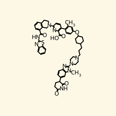 Cc1cc(OC2CCC(CCCN3CCN(c4nc5ccc(C6CCC(=O)NC6=O)cc5n4C)CC3)CC2)ccc1-c1ccc(N2CCc3cccc(C(=O)Nc4nc5ccccc5s4)c3C2)nc1C(=O)O